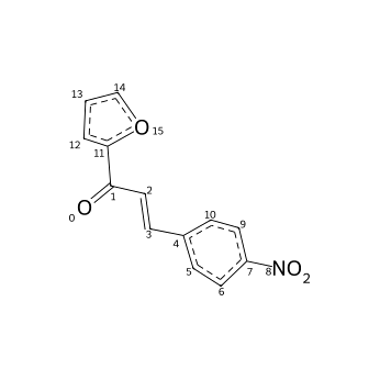 O=C(C=Cc1ccc([N+](=O)[O-])cc1)c1ccco1